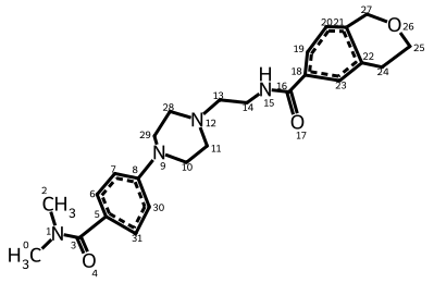 CN(C)C(=O)c1ccc(N2CCN(CCNC(=O)c3ccc4c(c3)CCOC4)CC2)cc1